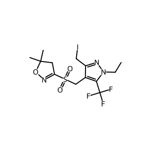 CCn1nc(CI)c(CS(=O)(=O)C2=NOC(C)(C)C2)c1C(F)(F)F